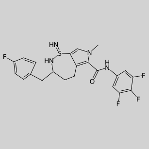 Cn1cc2c(c1C(=O)Nc1cc(F)c(F)c(F)c1)CCC(Cc1ccc(F)cc1)NS2=N